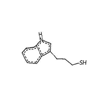 SCCCc1c[nH]c2ccccc12